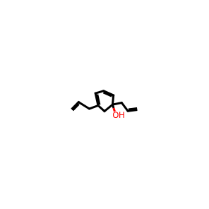 C=CCC1=CC=CC(O)(CC=C)C1